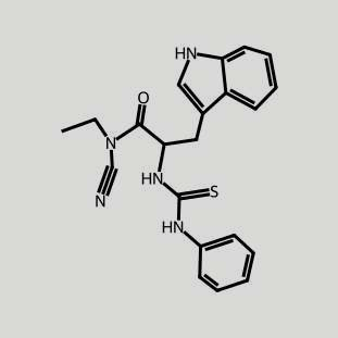 CCN(C#N)C(=O)C(Cc1c[nH]c2ccccc12)NC(=S)Nc1ccccc1